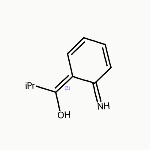 CC(C)/C(O)=C1\C=CC=CC1=N